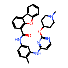 Cc1ccc(NC(=O)c2cccc3c2oc2ccccc23)cc1Nc1ccnc(OC2CCN(C)CC2)n1